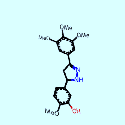 COc1ccc(C2CC(c3cc(OC)c(OC)c(OC)c3)=NN2)cc1O